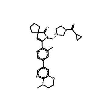 Cc1cc(-c2cnc3c(c2)OCCN3C)ccc1C1=NC2(CCCC2)C(=O)N1C[C@@H]1CCN(C(=O)C2CC2)C1